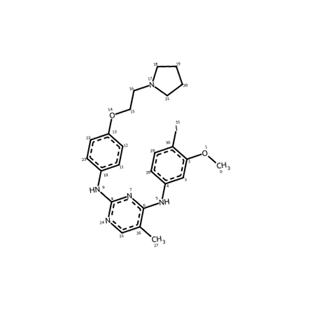 COc1cc(Nc2nc(Nc3ccc(OCCN4CCCC4)cc3)ncc2C)ccc1I